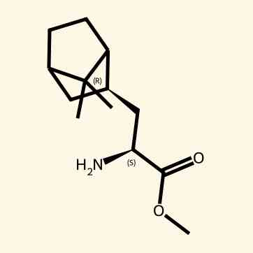 COC(=O)[C@@H](N)C[C@H]1CC2CCC1C2(C)C